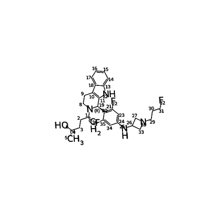 C=C(CC[C@H](C)O)N1CCc2c([nH]c3ccccc23)[C@H]1c1c(F)cc(NC2CN(CCCF)C2)cc1F